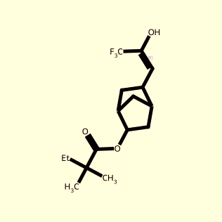 CCC(C)(C)C(=O)OC1CC2CC1CC2/C=C(/O)C(F)(F)F